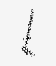 CCCCCc1cc2c(CCCCCNC(=O)CCOCCOCCOCCOCCOCCC=O)cccc2nc1N